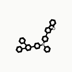 c1ccc(-c2ccc(-c3ccc(N(c4ccccc4)c4ccc(-c5ccc6c(c5)oc5ccccc56)cc4)cc3)cc2-c2ccccc2)cc1